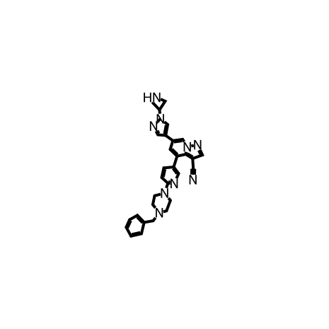 N#Cc1cnn2cc(-c3cnn(C4CNC4)c3)cc(-c3ccc(N4CCN(Cc5ccccc5)CC4)nc3)c12